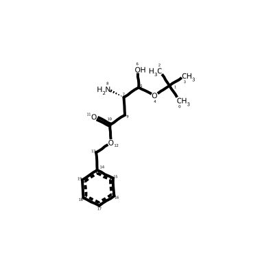 CC(C)(C)OC(O)[C@@H](N)CC(=O)OCc1ccccc1